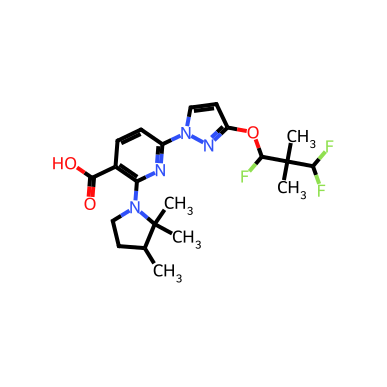 CC1CCN(c2nc(-n3ccc(OC(F)C(C)(C)C(F)F)n3)ccc2C(=O)O)C1(C)C